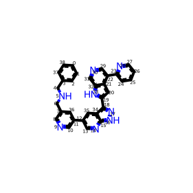 c1ccc(CNCc2cncc(-c3cnc4[nH]nc(-c5cc6c(-c7ccccn7)cncc6[nH]5)c4c3)c2)cc1